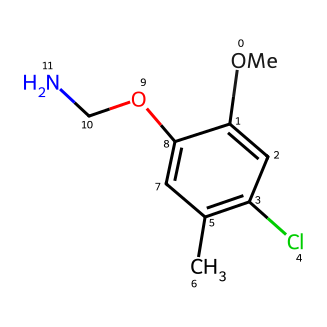 COc1cc(Cl)c(C)cc1OCN